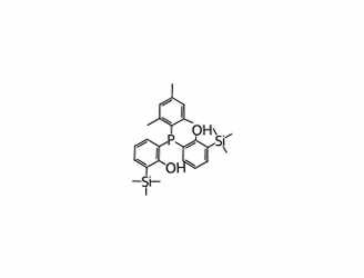 Cc1cc(C)c(P(c2cccc([Si](C)(C)C)c2O)c2cccc([Si](C)(C)C)c2O)c(C)c1